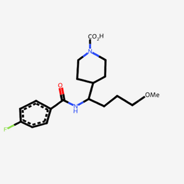 COCCCC(NC(=O)c1ccc(F)cc1)C1CCN(C(=O)O)CC1